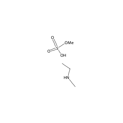 CCNC.COS(=O)(=O)O